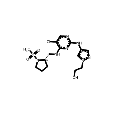 CS(=O)(=O)N1CCC[C@H]1CNc1nc(Nc2cnn(CCO)c2)ncc1Cl